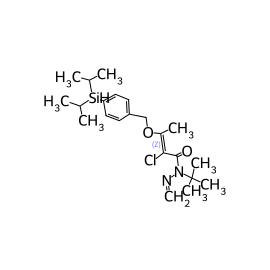 C=NN(C(=O)/C(Cl)=C(\C)OCc1ccc([SiH](C(C)C)C(C)C)cc1)C(C)(C)C